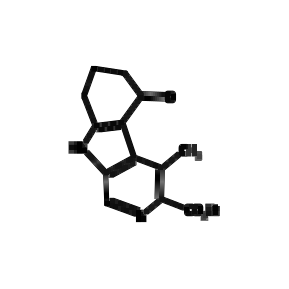 CCOC(=O)c1ncc2[nH]c3c(c2c1C)C(=O)CCC3